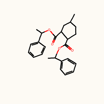 CC1CCC(C(=O)OC(C)c2ccccc2)C(C(=O)OC(C)c2ccccc2)C1